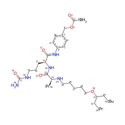 BC(=O)OCc1ccc(NC(=O)[C@H](CCCNC(N)=O)NC(=O)[C@@H](NCCCCCOC(CC(C)C)CC(C)(C)C)C(C)C)cc1